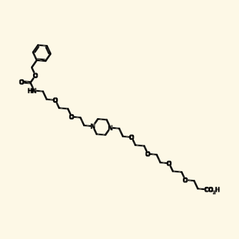 O=C(O)CCOCCOCCOCCOCCN1CCN(CCOCCOCCNC(=O)OCc2ccccc2)CC1